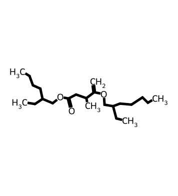 C=C(OCC(CC)CCCCC)C(C)CC(=O)OCC(CC)CCCC